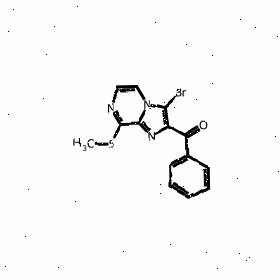 CSc1nccn2c(Br)c(C(=O)c3ccccc3)nc12